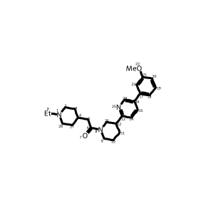 CCN1CCC(CC(=O)N2CCCC(c3ccc(-c4cccc(OC)c4)cn3)C2)CC1